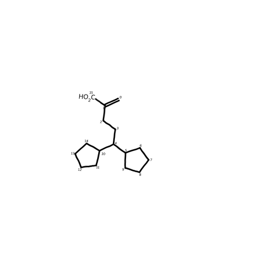 C=C(CCC(C1CCCC1)C1CCCC1)C(=O)O